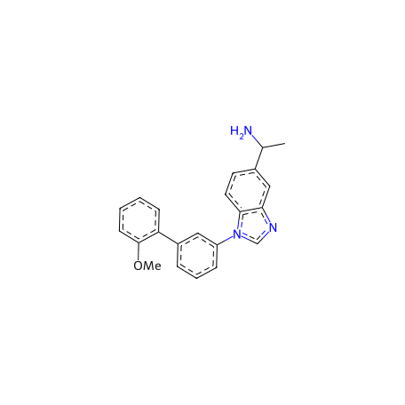 COc1ccccc1-c1cccc(-n2cnc3cc(C(C)N)ccc32)c1